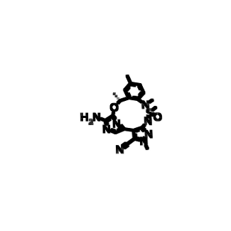 Cc1ccc2c(c1)[C@@H](C)Oc1nc(cnc1N)-c1c(nn(C)c1C#N)N=S(C)(=O)N2C